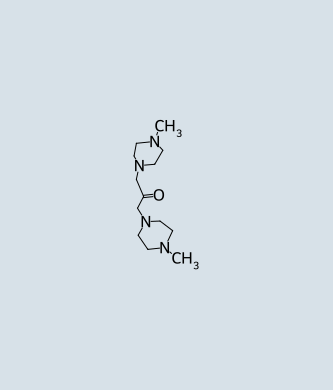 CN1CCN(CC(=O)CN2CCN(C)CC2)CC1